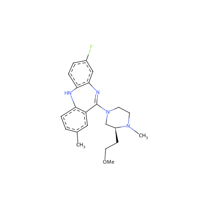 COCC[C@H]1CN(C2=Nc3cc(F)ccc3Nc3ccc(C)cc32)CCN1C